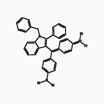 CCN(CC)c1ccc(C(=C2C=CC(=[N+](CC)CC)C=C2)c2c(-c3ccccc3)n(Cc3ccccc3)c3ccccc23)cc1